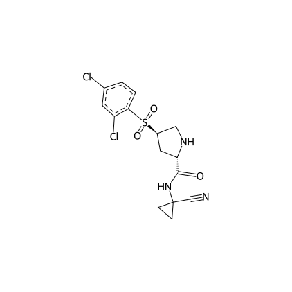 N#CC1(NC(=O)[C@@H]2C[C@@H](S(=O)(=O)c3ccc(Cl)cc3Cl)CN2)CC1